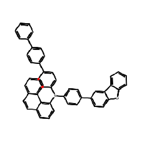 c1ccc(-c2ccc(-c3ccc(N(c4ccc(-c5ccc6oc7ccccc7c6c5)cc4)c4cccc5ccc6ccccc6c45)cc3)cc2)cc1